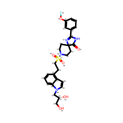 O=C1NC(c2cccc(OF)c2)=NC12CCN(S(=O)(=O)CCc1cccc3c1ccn3C[C@H](O)CO)CC2